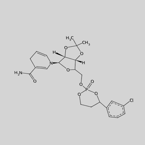 CC1(C)O[C@@H]2[C@H](O1)C(COP1(=O)OCCC(c3cccc(Cl)c3)O1)O[C@H]2N1C=CCC(C(N)=O)=C1